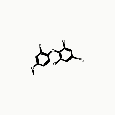 COc1ccc(Oc2c(Cl)cc(N)cc2Cl)c(F)c1